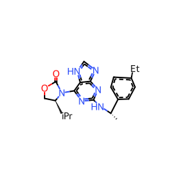 CCc1ccc([C@H](C)Nc2nc(N3C(=O)OC[C@@H]3C(C)C)c3[nH]cnc3n2)cc1